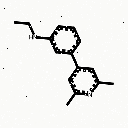 CCNc1cccc(-c2cc(C)nc(C)c2)c1